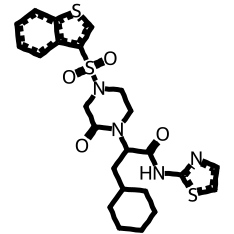 O=C(Nc1nccs1)C(CC1CCCCC1)N1CCN(S(=O)(=O)c2csc3ccccc23)CC1=O